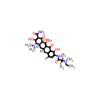 CCN(C)C(C)(C)C(=O)Nc1cc(F)c2c(c1O)C(=O)C1=C(O)[C@]3(O)C(=O)C(C(N)=O)=C(O)[C@@H](N(C)C)[C@@H]3C[C@@H]1C2